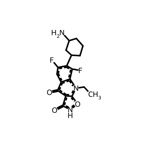 CCn1c2o[nH]c(=O)c2c(=O)c2cc(F)c(C3CCCC(N)C3)c(F)c21